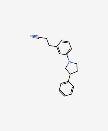 N#CCCc1cccc(N2CCC(c3ccccc3)C2)c1